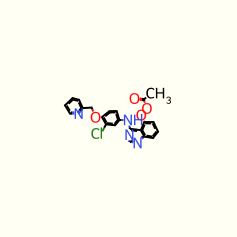 CC(=O)OOc1cccc2ncnc(Nc3ccc(OCc4ccccn4)c(Cl)c3)c12